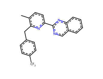 Cc1ccc(-c2ncc3ccccc3n2)nc1Cc1ccc(C(F)(F)F)cc1